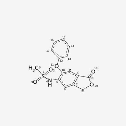 CS(=O)(=O)Nc1cc2c(cc1Oc1ccccc1)C(=O)OC2